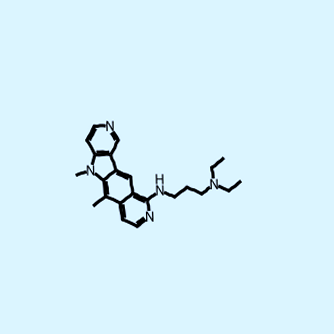 CCN(CC)CCCNc1nccc2c(C)c3c(cc12)c1cnccc1n3C